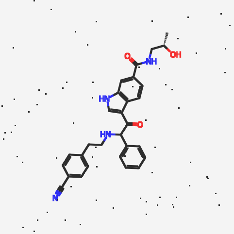 C[C@H](O)CNC(=O)c1ccc2c(C(=O)C(NCCc3ccc(C#N)cc3)c3ccccc3)c[nH]c2c1